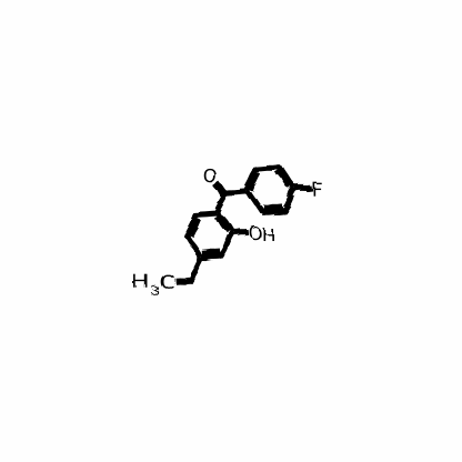 CCc1ccc(C(=O)c2ccc(F)cc2)c(O)c1